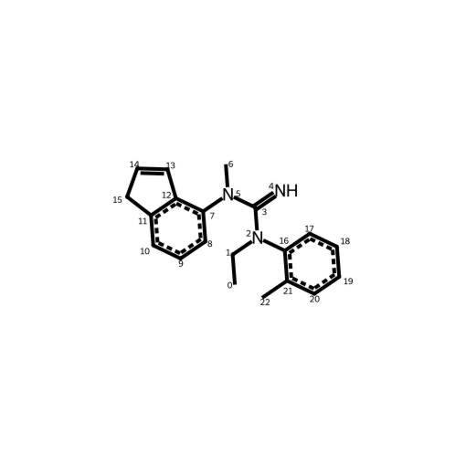 CCN(C(=N)N(C)c1cccc2c1C=CC2)c1ccccc1C